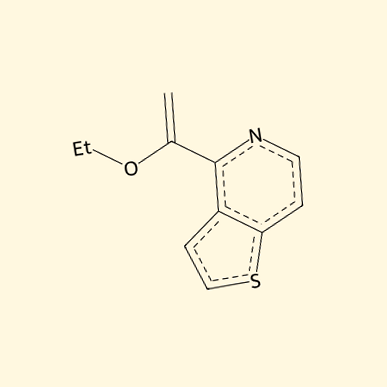 C=C(OCC)c1nccc2sccc12